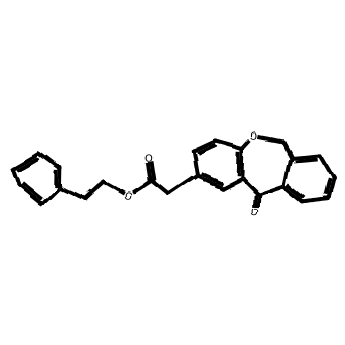 O=C(Cc1ccc2c(c1)C(=O)c1ccccc1CO2)OCCc1ccccc1